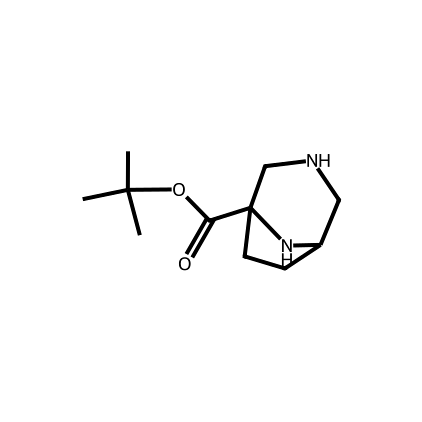 CC(C)(C)OC(=O)C12CCC(CNC1)N2